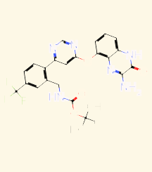 CC(C)(C)OC(=O)NCc1cc(C(F)(F)F)ccc1-c1cc(Oc2cccc3[nH]c(=O)c(N)nc23)ncn1